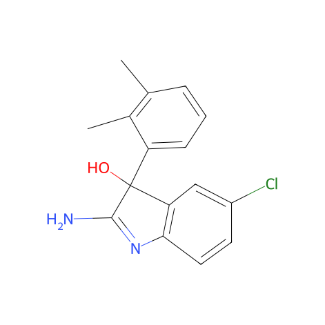 Cc1cccc(C2(O)C(N)=Nc3ccc(Cl)cc32)c1C